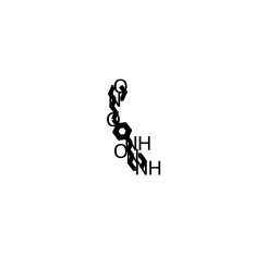 O=C(Nc1ccc(OCCN2CCOCC2)cc1)N1CCNCC1